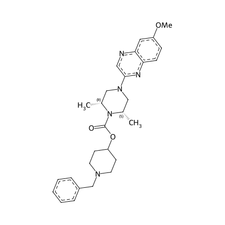 COc1ccc2nc(N3C[C@@H](C)N(C(=O)OC4CCN(Cc5ccccc5)CC4)[C@@H](C)C3)cnc2c1